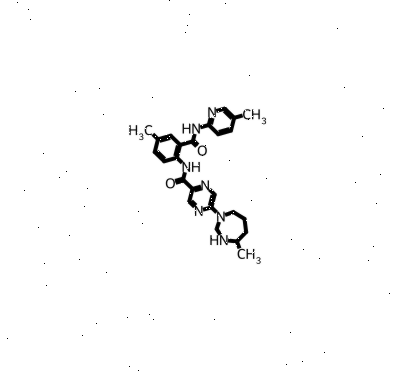 Cc1ccc(NC(=O)c2cc(C)ccc2NC(=O)c2cnc(N3CCCC(C)NC3)cn2)nc1